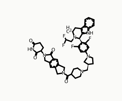 C[C@@H]1Cc2c([nH]c3ccccc23)[C@@H](c2c(F)cc(N3CC[C@@H](CN4CCC(C(=O)N5Cc6cc7c(cc6C5)C(=O)N(C5CCC(=O)NC5=O)C7)CC4)C3)cc2F)N1CC(F)F